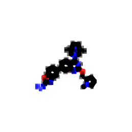 CN1CCC[C@H]1COc1nc(N2C[C@H]3CC[C@@H](C2)N3)c2ccc(-c3ccc4oc(N)nc4c3)cc2n1